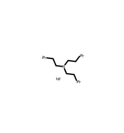 CC(C)CCN(CCC(C)C)CCC(C)C.F